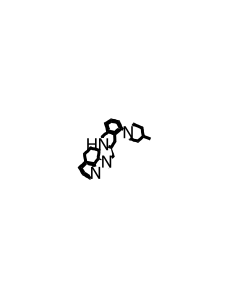 CC1CCN(c2cccc3c2C[C@@H](CN(C)[C@H]2CCCc4cccnc42)NC3)CC1